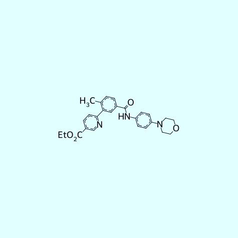 CCOC(=O)c1ccc(-c2cc(C(=O)Nc3ccc(N4CCOCC4)cc3)ccc2C)nc1